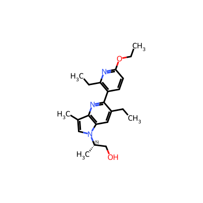 CCOc1ccc(-c2nc3c(C)cn([C@@H](C)CO)c3cc2CC)c(CC)n1